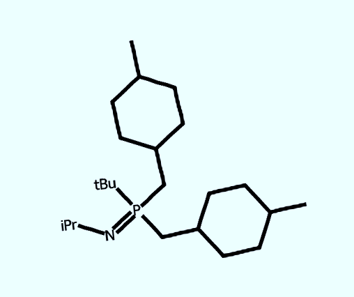 CC1CCC(CP(CC2CCC(C)CC2)(=NC(C)C)C(C)(C)C)CC1